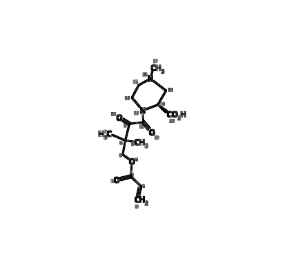 C=CC(=O)OCC(C)(C)C(=O)C(=O)N1CCN(C)C[C@H]1C(=O)O